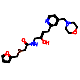 O=C(CSCc1ccco1)NCC(O)=CCc1cc(CN2CCOCC2)ccn1